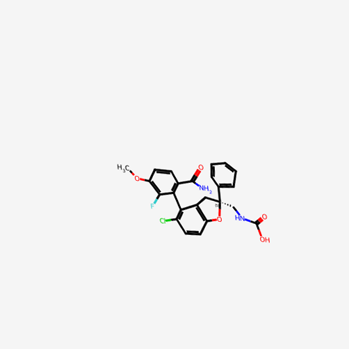 COc1ccc(C(N)=O)c(-c2c(Cl)ccc3c2C[C@@](CNC(=O)O)(c2ccccc2)O3)c1F